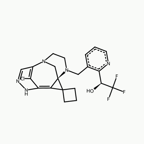 O[C@@H](c1ncccc1CN1CCN2C[C@]13C(=C1NN=CC2=C1Cl)C31CCC1)C(F)(F)F